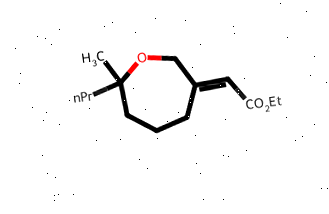 CCCC1(C)CCCC(=CC(=O)OCC)CO1